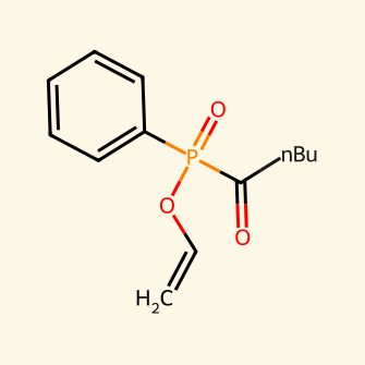 C=COP(=O)(C(=O)CCCC)c1ccccc1